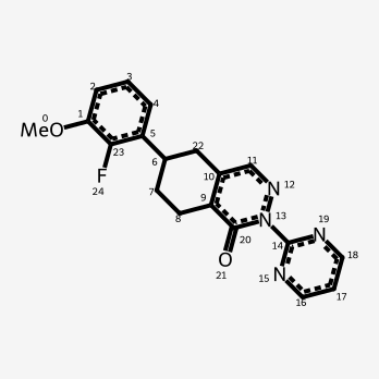 COc1cccc(C2CCc3c(cnn(-c4ncccn4)c3=O)C2)c1F